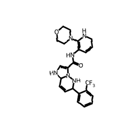 O=C(NC1=C(N2CCOCC2)NCC=C1)C1=CNC2C=CC(c3ccccc3C(F)(F)F)NN12